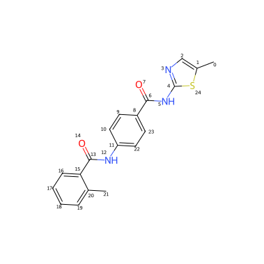 Cc1cnc(NC(=O)c2ccc(NC(=O)c3ccccc3C)cc2)s1